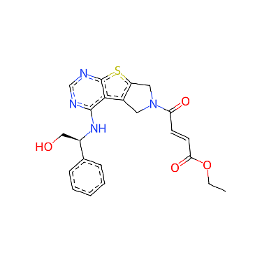 CCOC(=O)/C=C/C(=O)N1Cc2sc3ncnc(N[C@H](CO)c4ccccc4)c3c2C1